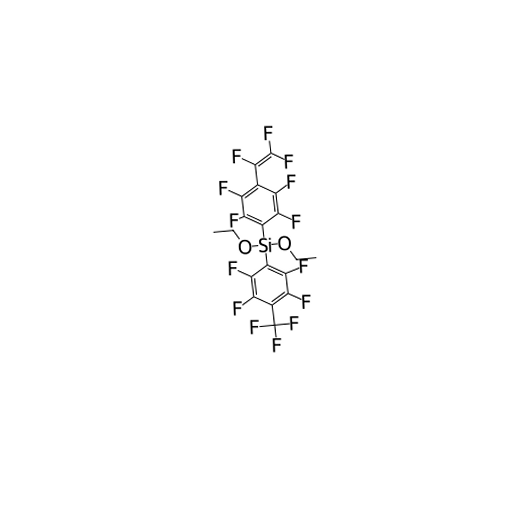 CCO[Si](OCC)(c1c(F)c(F)c(C(F)=C(F)F)c(F)c1F)c1c(F)c(F)c(C(F)(F)F)c(F)c1F